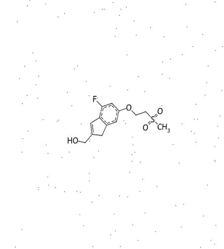 CS(=O)(=O)CCOc1cc(F)c2c(c1)CC(CO)=C2